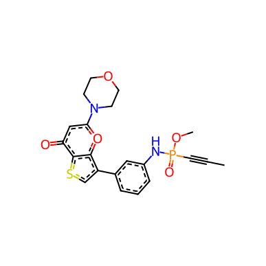 CC#CP(=O)(Nc1cccc(-c2csc3c(=O)cc(N4CCOCC4)oc23)c1)OC